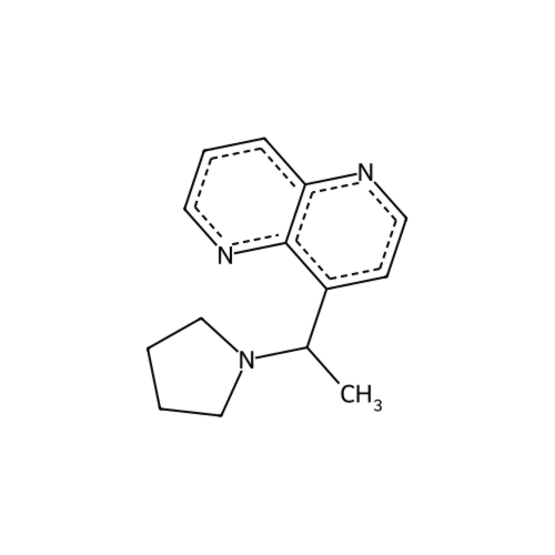 CC(c1ccnc2cccnc12)N1CCCC1